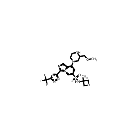 COCC1CN(c2cc(S(=O)(=O)NC3(C)COC3)cn3c(-c4nnc(C(F)(F)F)s4)ncc23)CCN1